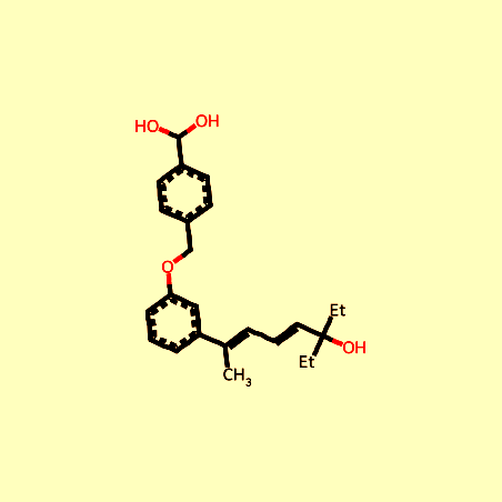 CCC(O)(C=CC=C(C)c1cccc(OCc2ccc(C(O)O)cc2)c1)CC